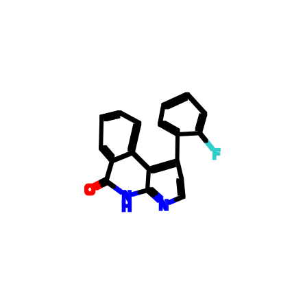 O=c1[nH]c2nccc(-c3ccccc3F)c2c2ccccc12